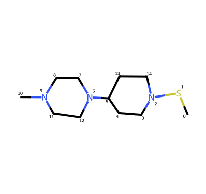 CSN1CCC(N2CCN(C)CC2)CC1